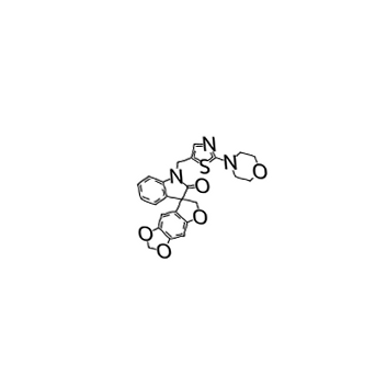 O=C1N(Cc2cnc(N3CCOCC3)s2)c2ccccc2C12COc1cc3c(cc12)OCO3